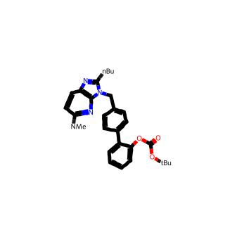 CCCCc1nc2ccc(NC)nc2n1Cc1ccc(-c2ccccc2OC(=O)OC(C)(C)C)cc1